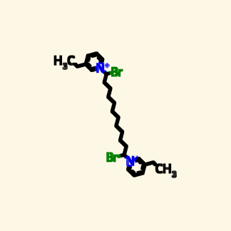 CCc1ccc[n+](C(Br)CCCCCCCCCCC(Br)[n+]2cccc(CC)c2)c1